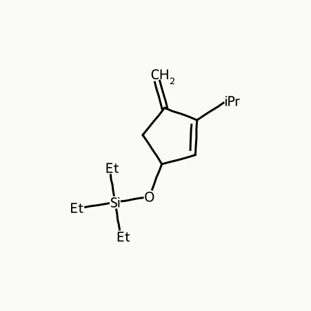 C=C1CC(O[Si](CC)(CC)CC)C=C1C(C)C